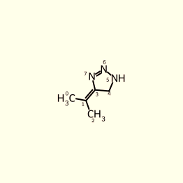 CC(C)=C1CNN=N1